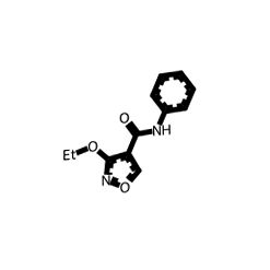 CCOc1nocc1C(=O)Nc1ccccc1